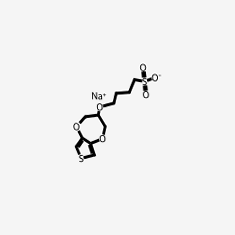 O=S(=O)([O-])CCCCOC1COc2cscc2OC1.[Na+]